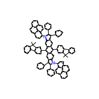 CC1(C)c2ccccc2-c2ccc(-c3c4cc5c(-c6ccccc6)c(-c6ccccc6)n(-c6ccc7ccc8cccc9ccc6c7c89)c5cc4c(-c4ccc5c(c4)C(C)(C)c4ccccc4-5)c4cc5c(-c6ccccc6)c(-c6ccccc6)n(-c6ccc7ccc8cccc9ccc6c7c89)c5cc34)cc21